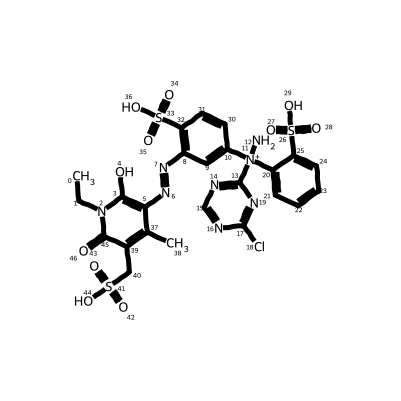 CCn1c(O)c(N=Nc2cc([N+](N)(c3ncnc(Cl)n3)c3ccccc3S(=O)(=O)O)ccc2S(=O)(=O)O)c(C)c(CS(=O)(=O)O)c1=O